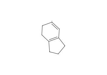 [C]1=CC2=C(CC1)CCC2